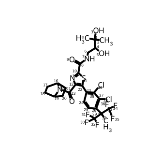 CC(C)(O)C(O)CNC(=O)c1nc(C(=O)N2C3CCC2CC3)c(-c2ccc(C(C)(C(F)(F)F)C(F)(F)F)c(Cl)c2Cl)s1